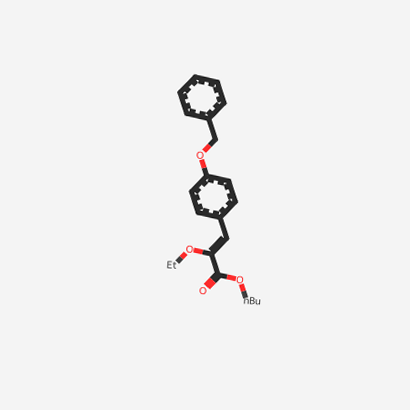 CCCCOC(=O)C(=Cc1ccc(OCc2ccccc2)cc1)OCC